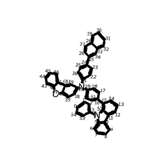 c1ccc(-n2c3ccccc3c3cccc(-c4ccc(N(c5ccc(-c6ccc7ccccc7c6)cc5)c5ccc6oc7ccccc7c6c5)cc4)c32)cc1